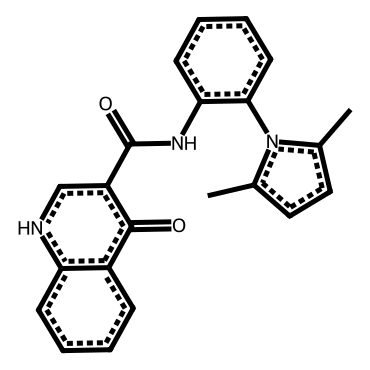 Cc1ccc(C)n1-c1ccccc1NC(=O)c1c[nH]c2ccccc2c1=O